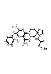 CC(C)(C)OC(=O)N[C@@H]1CCCC12CCN(c1nc(N)c(Sc3cccnc3C(F)(F)F)nc1C(N)=O)CC2